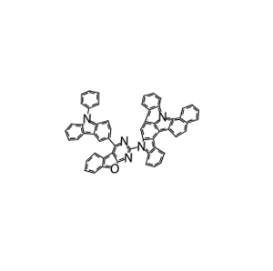 c1ccc(-n2c3ccccc3c3cc(-c4nc(-n5c6ccccc6c6c7c8ccc9ccccc9c8n8c9ccccc9c(cc65)c78)nc5oc6ccccc6c45)ccc32)cc1